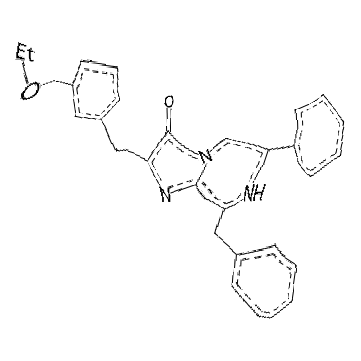 CCOc1cccc(Cc2nc3c(Cc4ccccc4)[nH]c(-c4ccccc4)cn-3c2=O)c1